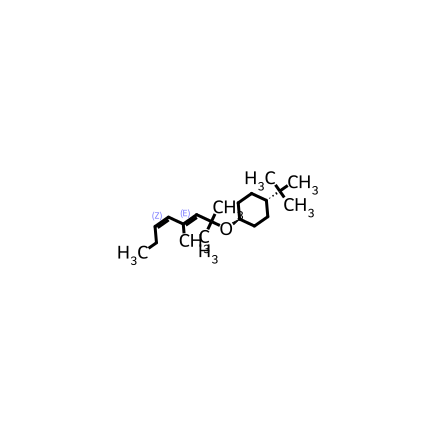 CC/C=C\C(C)=C\C(C)(C)O[C@H]1CC[C@H](C(C)(C)C)CC1